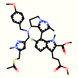 COC(=O)CCc1c(C(=O)OC)n(C)c2c(-c3c(C)nn4c3[C@H](N(Cc3ccc(OC)cc3)Cc3cc(CSC(C)=O)n(C)n3)CC4)c(Cl)ccc12